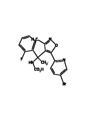 [CH2]C(NC(=O)O)(c1ccccc1F)c1c(C)noc1-c1ccc(Br)cn1